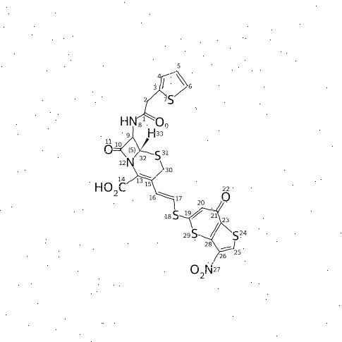 O=C(Cc1cccs1)NC1C(=O)N2C(C(=O)O)=C(C=CSc3cc(=O)c4scc([N+](=O)[O-])c4s3)CS[C@@H]12